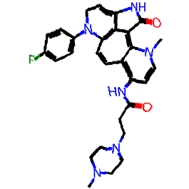 CN1CCN(CCC(=O)NC2=c3ccc4c5c([nH]c(=O)c-5c3N(C)C=C2)=CCN4c2ccc(F)cc2)CC1